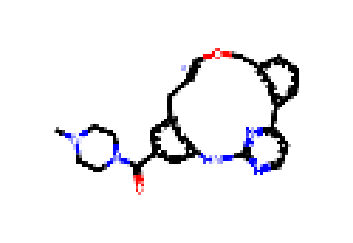 CN1CCN(C(=O)c2cc3cc(c2)Nc2nccc(n2)-c2cccc(c2)CO/C=C/C3)CC1